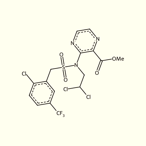 COC(=O)c1nccnc1N(CC(Cl)Cl)S(=O)(=O)Cc1cc(C(F)(F)F)ccc1Cl